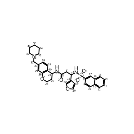 O=C(CC(NS(=O)(=O)c1ccc2ccccc2c1)c1ccoc1)NC1CCOc2cc(CN3CCCCC3)ccc21